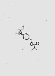 CCC(C)Nc1ccc(COC(=O)C(C)C)cc1